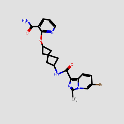 NC(=O)c1cccnc1OC1CC2(CC(NC(=O)c3nc(C(F)(F)F)n4cc(Br)ccc34)C2)C1